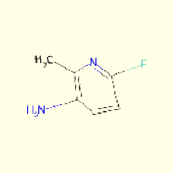 Cc1nc(F)ccc1N